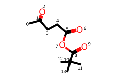 CC(=O)CCC(=O)OC(=O)C(C)(C)C